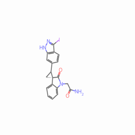 NC(=O)CN1C(=O)[C@@]2(CC2c2ccc3c(I)n[nH]c3c2)c2ccccc21